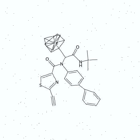 C#Cc1nc(C(=O)N(c2ccc(-c3ccccc3)cc2)C(C(=O)NC(C)(C)C)[C]23[CH]4[CH]5[CH]6[CH]2[Fe]56432789[CH]3[CH]2[CH]7[CH]8[CH]39)cs1